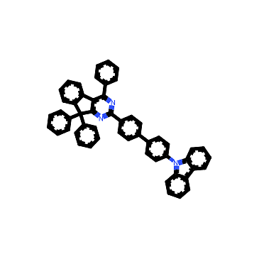 c1ccc(-c2nc(-c3ccc(-c4ccc(-n5c6ccccc6c6ccccc65)cc4)cc3)nc3c2-c2ccccc2C3(c2ccccc2)c2ccccc2)cc1